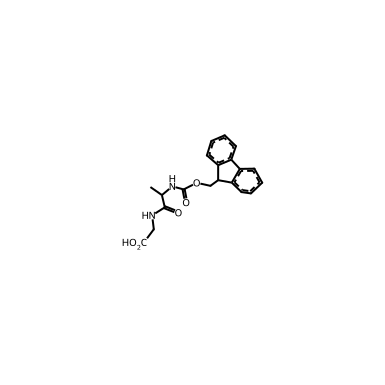 CC(NC(=O)OCC1c2ccccc2-c2ccccc21)C(=O)NCC(=O)O